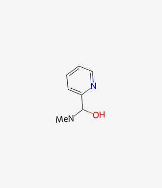 CNC(O)c1ccccn1